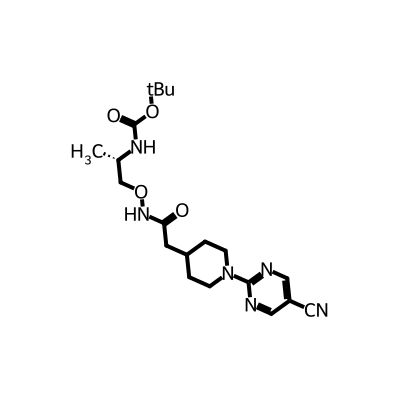 C[C@@H](CONC(=O)CC1CCN(c2ncc(C#N)cn2)CC1)NC(=O)OC(C)(C)C